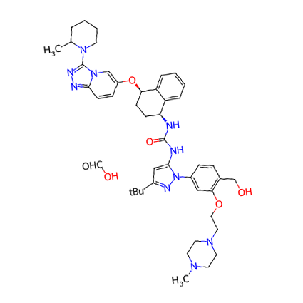 CC1CCCCN1c1nnc2ccc(O[C@@H]3CC[C@H](NC(=O)Nc4cc(C(C)(C)C)nn4-c4ccc(CO)c(OCCN5CCN(C)CC5)c4)c4ccccc43)cn12.O=CO